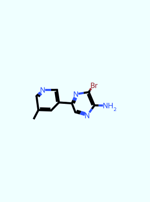 Cc1cncc(-c2cnc(N)c(Br)n2)c1